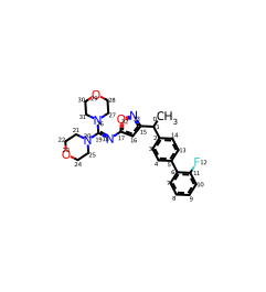 CC(c1ccc(-c2ccccc2F)cc1)c1cc(N=C(N2CCOCC2)N2CCOCC2)on1